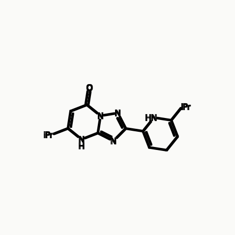 CC(C)C1=CCC=C(c2nc3[nH]c(C(C)C)cc(=O)n3n2)N1